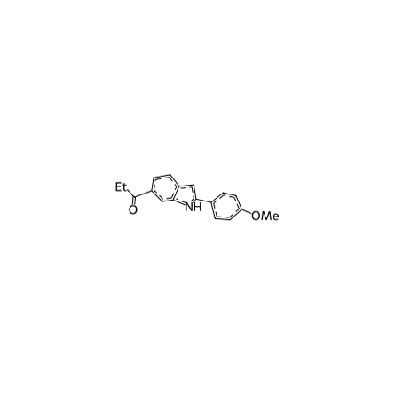 CCC(=O)c1ccc2cc(-c3ccc(OC)cc3)[nH]c2c1